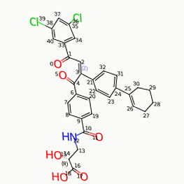 O=C(/C=C(\C(=O)c1ccc(C(=O)NC[C@@H](O)C(=O)O)cc1)c1ccc(C2=CCCCC2)cc1)c1cc(Cl)cc(Cl)c1